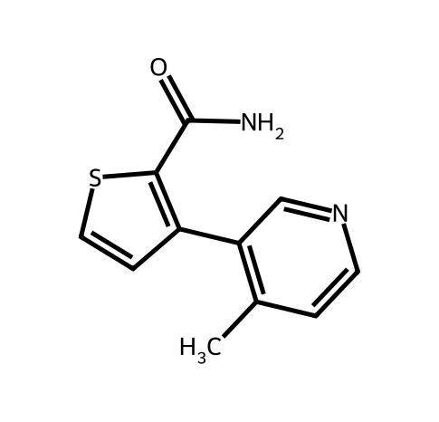 Cc1ccncc1-c1ccsc1C(N)=O